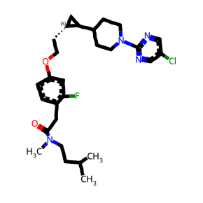 CC(C)CCN(C)C(=O)Cc1ccc(OCC[C@@H]2CC2C2CCN(c3ncc(Cl)cn3)CC2)cc1F